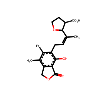 CCc1c(C)c2c(c(O)c1CC=C(C)C1OCCC1C(=O)O)C(=O)OC2